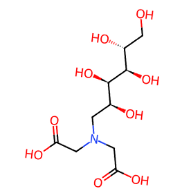 O=C(O)CN(CC(=O)O)C[C@H](O)[C@@H](O)[C@H](O)[C@H](O)CO